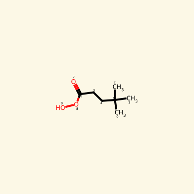 CC(C)(C)CCC(=O)OO